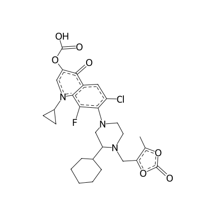 Cc1oc(=O)oc1CN1CCN(c2c(Cl)cc3c(=O)c(OC(=O)O)cn(C4CC4)c3c2F)CC1C1CCCCC1